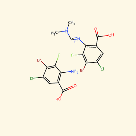 CN(C)/C=N/c1c(C(=O)O)cc(Cl)c(Br)c1F.Nc1c(C(=O)O)cc(Cl)c(Br)c1F